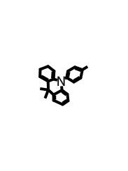 Cc1ccc(N2C3=CCCC=C3C(C)(C)c3ccccc32)cc1